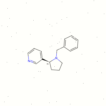 c1ccc(CN2CCC[C@H]2c2cccnc2)cc1